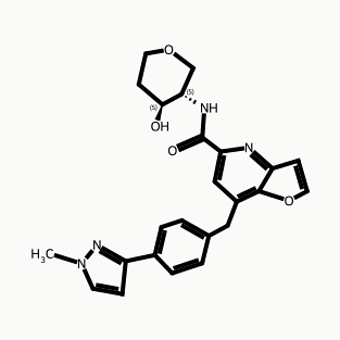 Cn1ccc(-c2ccc(Cc3cc(C(=O)N[C@H]4COCC[C@@H]4O)nc4ccoc34)cc2)n1